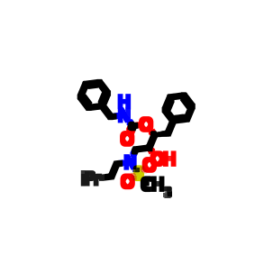 CC(C)CCN(C[C@H](O)[C@H](Cc1ccccc1)OC(=O)NCc1ccccc1)S(C)(=O)=O